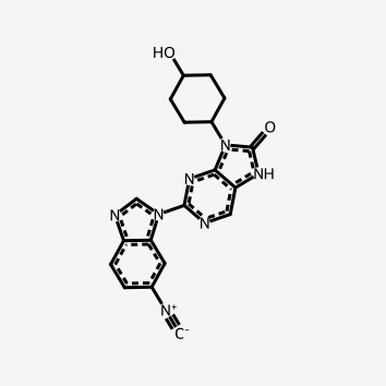 [C-]#[N+]c1ccc2ncn(-c3ncc4[nH]c(=O)n(C5CCC(O)CC5)c4n3)c2c1